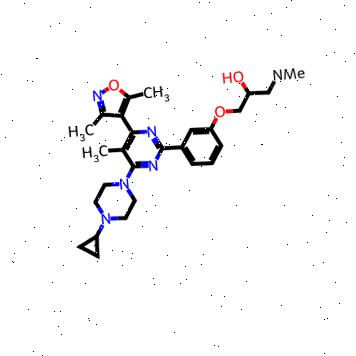 CNCC(O)COc1cccc(-c2nc(-c3c(C)noc3C)c(C)c(N3CCN(C4CC4)CC3)n2)c1